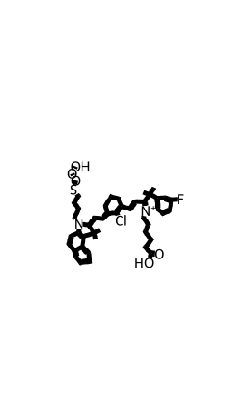 CC1(C)C(/C=C/C2=C(Cl)C(=C/C=C3/N(CCCCSOOO)c4ccc5ccccc5c4C3(C)C)/CCC2)=[N+](CCCCCC(=O)O)c2ccc(F)cc21